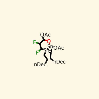 CCCCCCCCCCC[CH2][Sn]1([CH2]CCCCCCCCCCC)[CH](F)C(F)C(OC(C)=O)[O][SnH]1[O]C(C)=O